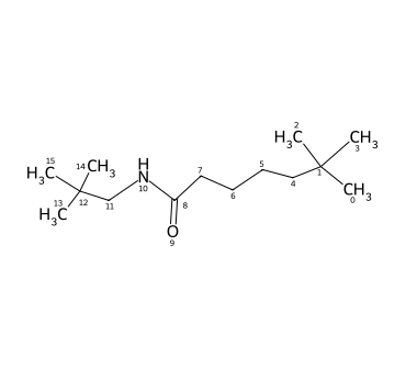 CC(C)(C)CCCCC(=O)NCC(C)(C)C